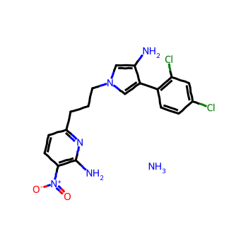 N.Nc1cn(CCCc2ccc([N+](=O)[O-])c(N)n2)cc1-c1ccc(Cl)cc1Cl